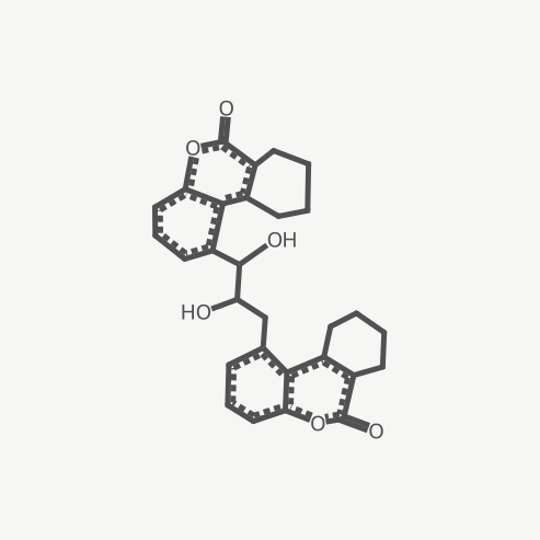 O=c1oc2cccc(CC(O)C(O)c3cccc4oc(=O)c5c(c34)CCCC5)c2c2c1CCCC2